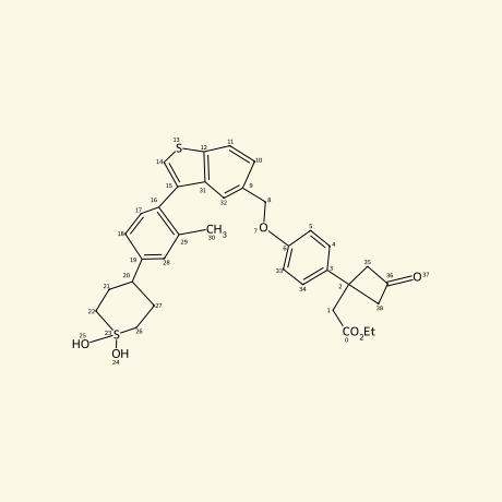 CCOC(=O)CC1(c2ccc(OCc3ccc4scc(-c5ccc(C6CCS(O)(O)CC6)cc5C)c4c3)cc2)CC(=O)C1